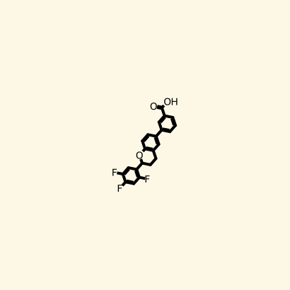 O=C(O)c1cccc(-c2ccc3c(c2)CCC(c2cc(F)c(F)cc2F)O3)c1